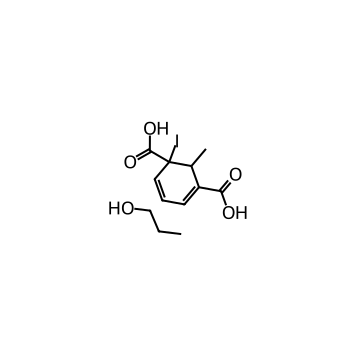 CC1C(C(=O)O)=CC=CC1(I)C(=O)O.CCCO